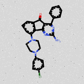 Nc1nc(-c2ccccc2)c2c(n1)-c1c(cccc1N1CCN(c3ccc(Cl)cc3)CC1)C2=O